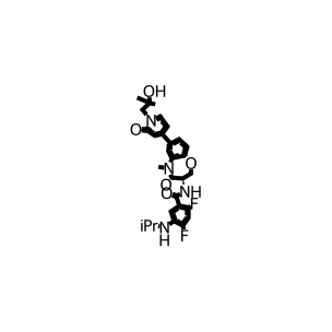 CC(C)Nc1cc(C(=O)N[C@H]2COc3ccc(-c4ccn(CC(C)(C)O)c(=O)c4)cc3N(C)C2=O)c(F)cc1F